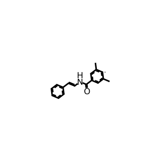 Cc1[c]c(C)cc(C(=O)NC=Cc2ccccc2)c1